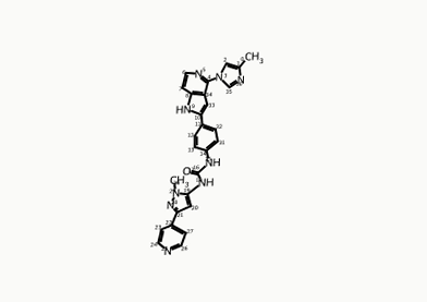 Cc1cn(-c2nccc3[nH]c(-c4ccc(NC(=O)Nc5cc(-c6ccncc6)nn5C)cc4)cc23)cn1